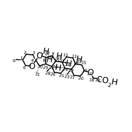 C[C@H]1CC[C@@]2(OC1)O[C@H]1C[C@H]3[C@@H]4CC[C@@H]5C[C@@H](OCC(=O)O)CC[C@]5(C)[C@H]4CC[C@]3(C)[C@H]1[C@@H]2C